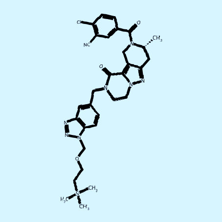 C[C@@H]1Cc2nn3c(c2CN1C(=O)c1ccc(Cl)c(C#N)c1)C(=O)N(Cc1ccc2c(c1)nnn2COCC[Si](C)(C)C)CC3